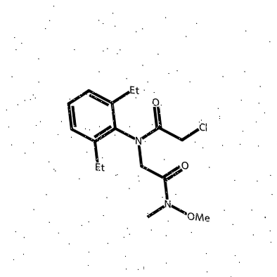 CCc1cccc(CC)c1N(CC(=O)N(C)OC)C(=O)CCl